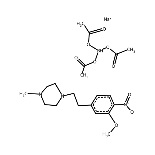 CC(=O)O[BH-](OC(C)=O)OC(C)=O.COc1cc(CCN2CCN(C)CC2)ccc1[N+](=O)[O-].[Na+]